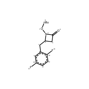 CCCCON1C(=O)CC1Cc1cc(F)ccc1F